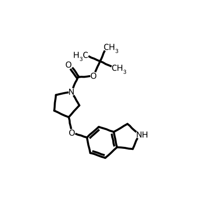 CC(C)(C)OC(=O)N1CCC(Oc2ccc3c(c2)CNC3)C1